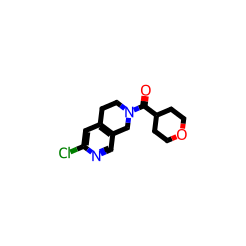 O=C(C1CCOCC1)N1CCc2cc(Cl)ncc2C1